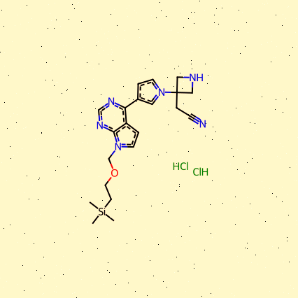 C[Si](C)(C)CCOCn1ccc2c(-c3ccn(C4(CC#N)CNC4)c3)ncnc21.Cl.Cl